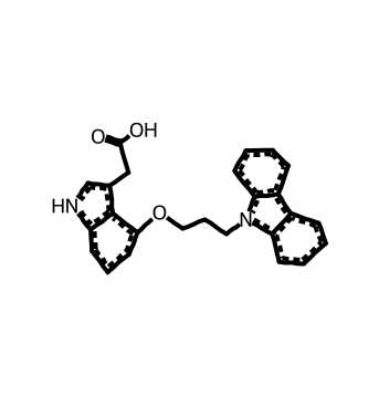 O=C(O)Cc1c[nH]c2cccc(OCCCn3c4ccccc4c4ccccc43)c12